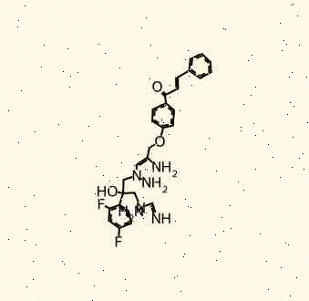 N=CN(N)CC(O)(CN(N)/C=C(\N)COc1ccc(C(=O)/C=C/c2ccccc2)cc1)c1ccc(F)cc1F